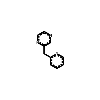 c1ccc(Cc2cnccn2)nc1